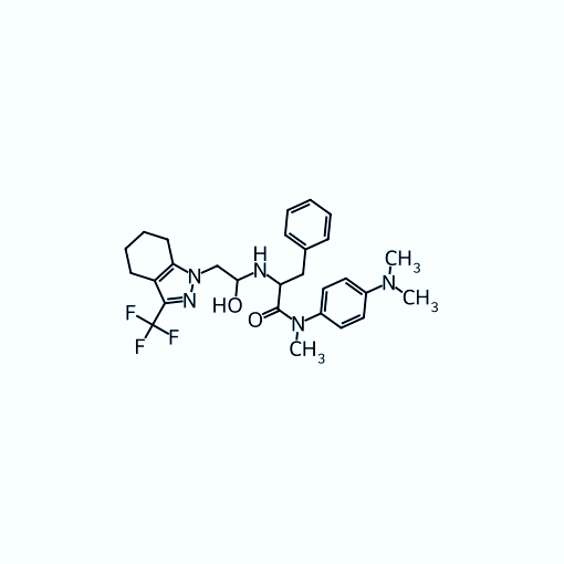 CN(C)c1ccc(N(C)C(=O)C(Cc2ccccc2)NC(O)Cn2nc(C(F)(F)F)c3c2CCCC3)cc1